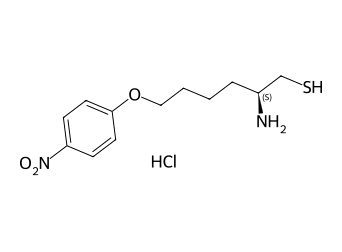 Cl.N[C@H](CS)CCCCOc1ccc([N+](=O)[O-])cc1